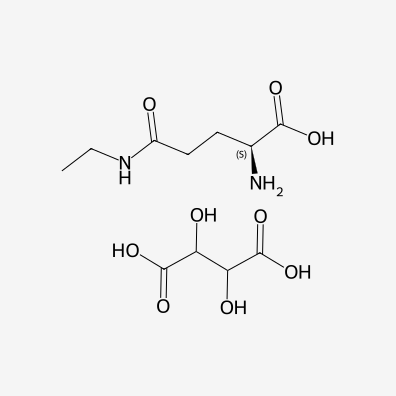 CCNC(=O)CC[C@H](N)C(=O)O.O=C(O)C(O)C(O)C(=O)O